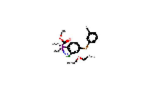 CCCCCOCC(C)CCC.CCc1cccc(Sc2ccc(P(N)(OC)(OC)C(=O)OC(C)(C)C)c(Cl)c2)c1